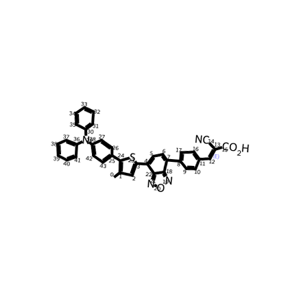 Cc1cc(-c2ccc(-c3ccc(/C=C(\C#N)C(=O)O)cc3)c3nonc23)sc1-c1ccc(N(c2ccccc2)c2ccccc2)cc1